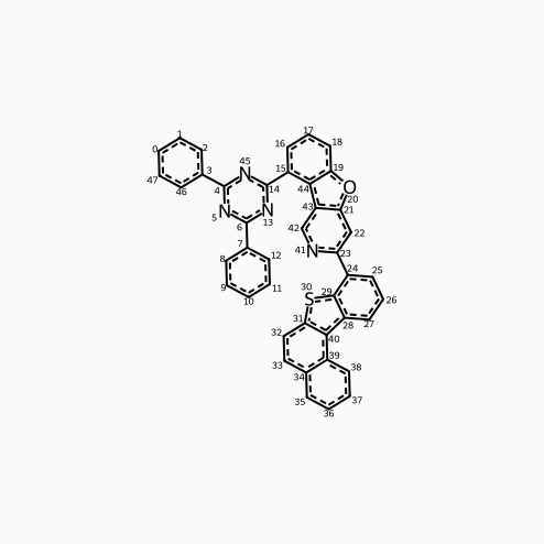 c1ccc(-c2nc(-c3ccccc3)nc(-c3cccc4oc5cc(-c6cccc7c6sc6ccc8ccccc8c67)ncc5c34)n2)cc1